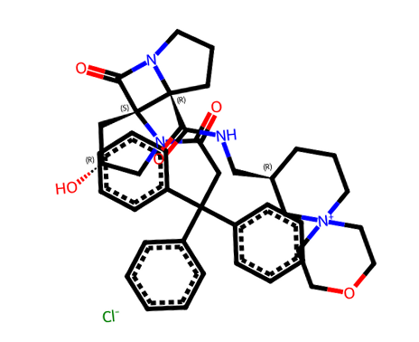 O=C(CC(c1ccccc1)(c1ccccc1)c1ccccc1)N1C[C@H](O)C[C@]12C(=O)N1CCC[C@@]12C(=O)NC[C@H]1CCC[N+]2(CCOCC2)C1.[Cl-]